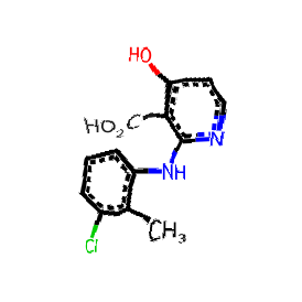 Cc1c(Cl)cccc1Nc1nccc(O)c1C(=O)O